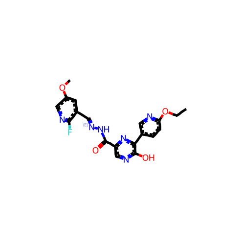 CCOc1ccc(-c2nc(C(=O)N/N=C/c3cc(OC)cnc3F)cnc2O)cn1